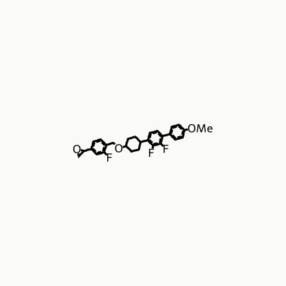 COc1ccc(-c2ccc(C3CCC(OCc4ccc(C5CO5)cc4F)CC3)c(F)c2F)cc1